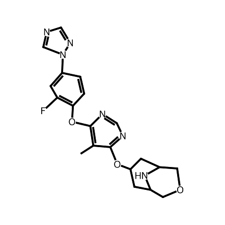 Cc1c(Oc2ccc(-n3cncn3)cc2F)ncnc1OC1CC2COCC(C1)N2